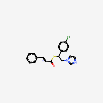 O=C(/C=C/c1ccccc1)SC(Cn1ccnc1)c1ccc(Cl)cc1